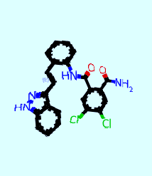 NC(=O)c1cc(Cl)c(Cl)cc1C(=O)Nc1ccccc1/C=C/c1n[nH]c2ccccc12